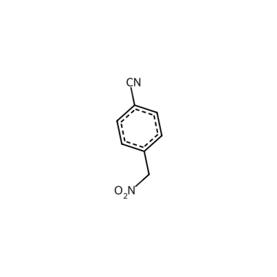 N#Cc1ccc(C[N+](=O)[O-])cc1